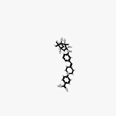 C[C@@H]1[C@@H](Nc2cccc(C=C3CCN(c4ccc(C(=O)O)cc4)CC3)c2)C[C@H]2C[C@@H]1C2(C)C